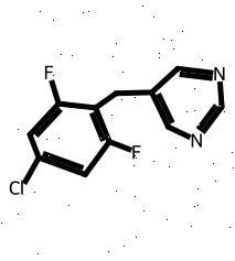 Fc1cc(Cl)cc(F)c1Cc1cncnc1